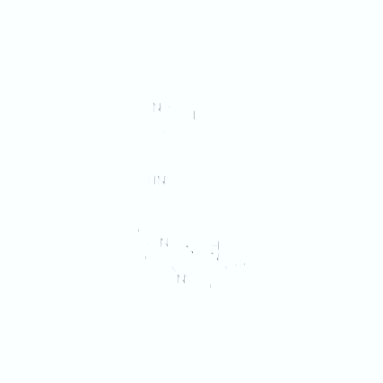 Cc1ncc2c(c1F)CC(CNCC[C@@H]1CN(c3cnc4c(n3)NC(=O)CO4)C(=O)O1)C2